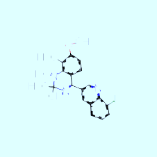 COc1ccc2c(c1C)N(C)C(C)(C)N=C2c1cnc2c(F)cccc2c1